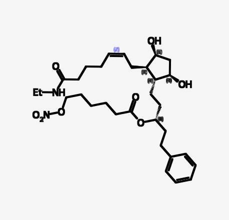 CCNC(=O)CCC/C=C\C[C@@H]1[C@@H](CC[C@H](CCc2ccccc2)OC(=O)CCCCCO[N+](=O)[O-])[C@H](O)C[C@@H]1O